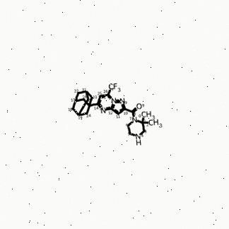 CC1(C)CNCCN1C(=O)c1cc2nc(C34CC5CC(CC(C5)C3)C4)cc(C(F)(F)F)n2n1